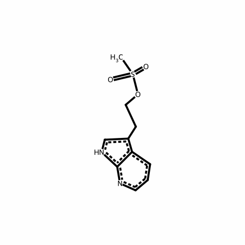 CS(=O)(=O)OCCc1c[nH]c2ncccc12